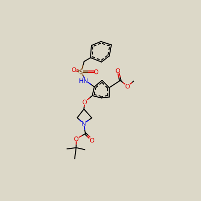 COC(=O)c1ccc(OC2CN(C(=O)OC(C)(C)C)C2)c(NS(=O)(=O)Cc2ccccc2)c1